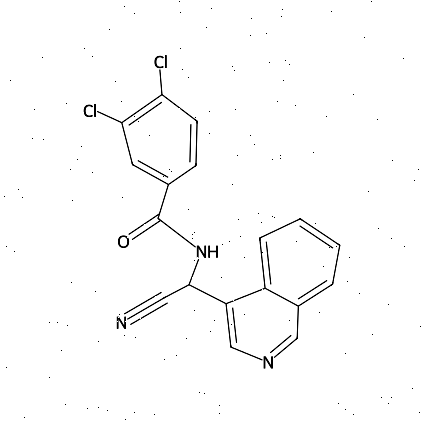 N#CC(NC(=O)c1ccc(Cl)c(Cl)c1)c1cncc2ccccc12